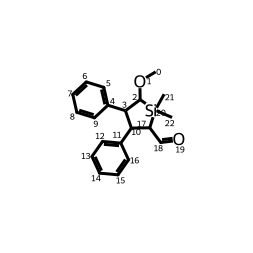 COC1C(c2ccccc2)C(c2ccccc2)C(C=O)[Si]1(C)C